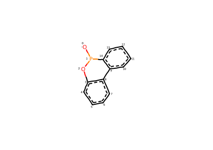 [O]P1Oc2ccccc2-c2ccccc21